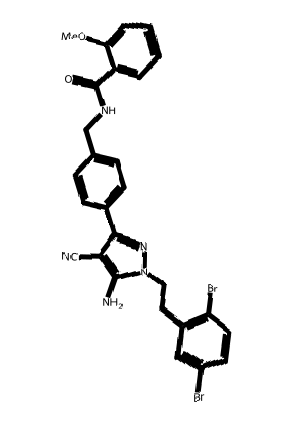 COc1ccccc1C(=O)NCc1ccc(-c2nn(CCc3cc(Br)ccc3Br)c(N)c2C#N)cc1